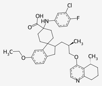 CCOc1ccc2c(c1)C1(CCC(Nc3ccc(F)c(Cl)c3)(C(=O)O)CC1)C(C[C@@H](C)COc1ccnc3c1[C@H](C)CCC3)C2